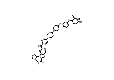 CN(C)C(=O)c1cc2cnc(Nc3ccc(N4CCC(N5CCN(Cc6cccc(NC7CCC(=O)NC7=O)c6)CC5)CC4)cn3)nc2n1C1CCCC1